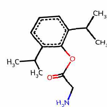 CC(C)c1cccc(C(C)C)c1OC(=O)CN